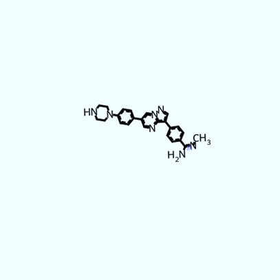 C/N=C(/N)c1ccc(-c2cnn3cc(-c4ccc(N5CCNCC5)cc4)cnc23)cc1